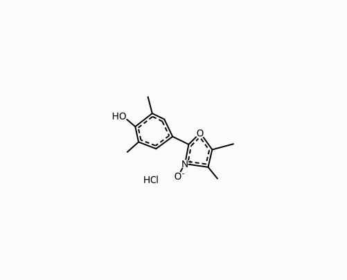 Cc1cc(-c2oc(C)c(C)[n+]2[O-])cc(C)c1O.Cl